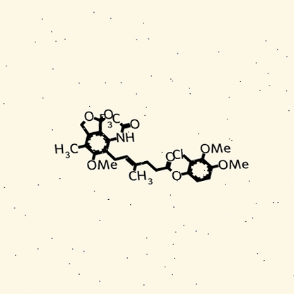 COc1ccc(OC(=O)CC/C(C)=C/Cc2c(NC(=O)C(F)(F)F)c3c(c(C)c2OC)COC3=O)c(Cl)c1OC